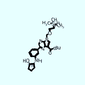 CC(C)(C)C(=O)c1cn(COCC[Si](C)(C)C)c2ncc(-c3cccc(N[C@@H]4CCC[C@@H]4O)c3)nc12